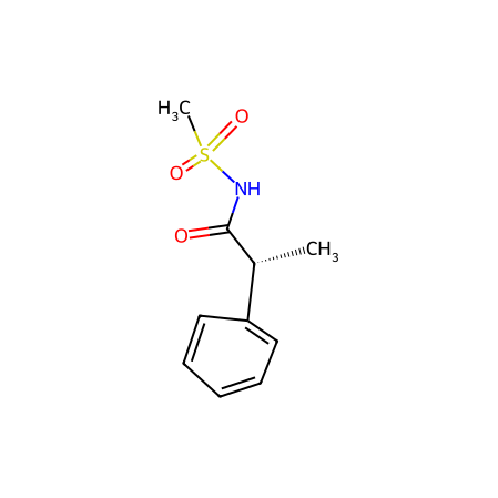 C[C@@H](C(=O)NS(C)(=O)=O)c1ccccc1